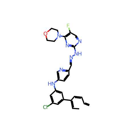 C=C/C=C\C(=C/C)c1cc(Cl)cc(Nc2ccc(/C=N/Nc3ncc(F)c(N4CCOCC4)n3)nc2)c1